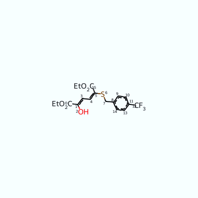 CCOC(=O)C(O)=CC=C(SCc1ccc(C(F)(F)F)cc1)C(=O)OCC